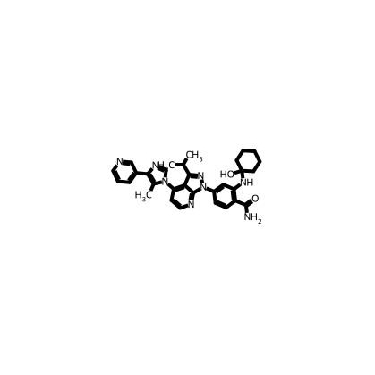 Cc1c(-c2cccnc2)ncn1-c1ccnc2c1c(C(C)C)nn2-c1ccc(C(N)=O)c(NC2(O)CCCCC2)c1